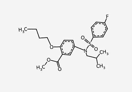 CCCCOc1ccc(N(CC(C)C)S(=O)(=O)c2ccc(F)cc2)cc1C(=O)OC